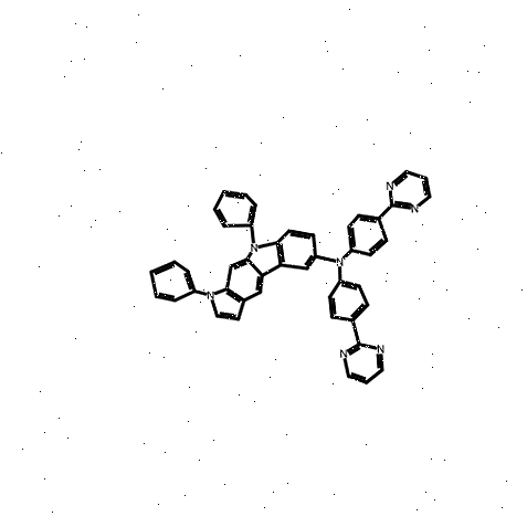 c1ccc(-n2ccc3cc4c5cc(N(c6ccc(-c7ncccn7)cc6)c6ccc(-c7ncccn7)cc6)ccc5n(-c5ccccc5)c4cc32)cc1